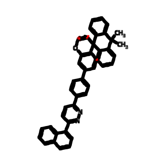 CC1(C)c2ccccc2C2(c3ccccc3Oc3cc(-c4ccc(-c5ccc(-c6cccc7ccccc67)nn5)cc4)ccc32)c2ccccc21